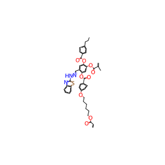 C=CC(=O)OCCCCCCOc1ccc(C(=O)Oc2cc(OC(=O)C(=C)C)c(OC(=O)c3ccc(CCC)cc3)cc2/C=N/Nc2nc3ccccc3s2)cc1